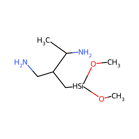 CO[SiH](CC(CN)C(C)N)OC